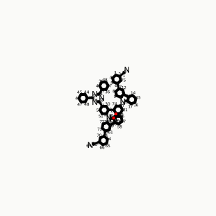 N#Cc1cccc(-c2ccc3c(c2)c2ccccc2n3-c2ccc(C(F)(F)F)c(-c3cc(-c4nc(-c5ccccc5)nc(-c5ccccc5)n4)ccc3-n3c4ccccc4c4cc(-c5cccc(C#N)c5)ccc43)c2)c1